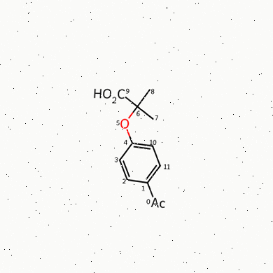 CC(=O)c1ccc(OC(C)(C)C(=O)O)cc1